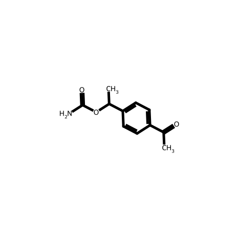 CC(=O)c1ccc(C(C)OC(N)=O)cc1